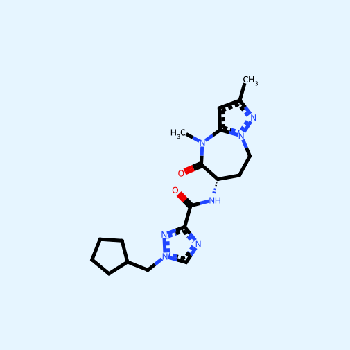 Cc1cc2n(n1)CC[C@H](NC(=O)c1ncn(CC3CCCC3)n1)C(=O)N2C